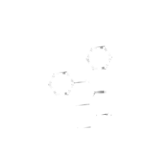 Cc1ccc(N(C(=O)[C@@H]2CCCC[C@@H]2N)c2ccccc2)cc1